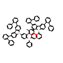 Cc1ccc(-c2ccccc2-n2c3ccc(-c4ccccc4-c4ccccc4)cc3c3cc(-c4ccccc4-c4ccccc4)ccc32)cc1-c1cc(-n2c3ccc(-c4ccccc4-c4ccccc4)cc3c3cc(-c4ccccc4-c4ccccc4)ccc32)ccc1[SiH](c1ccccc1)c1ccccc1